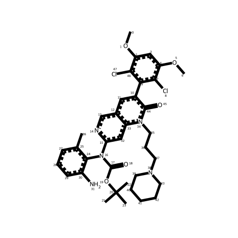 COc1cc(OC)c(Cl)c(-c2cc3cnc(N(C(=O)OC(C)(C)C)c4c(C)cccc4N)cc3n(CCCN3CCCCC3)c2=O)c1Cl